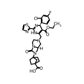 CCOC(=O)C1=C(CN2CCN3C(=O)N(C45CCC(C(=O)O)(CC4)C5)C[C@@H]3C2)NC(c2nccs2)=N[C@H]1c1ccc(F)cc1Cl